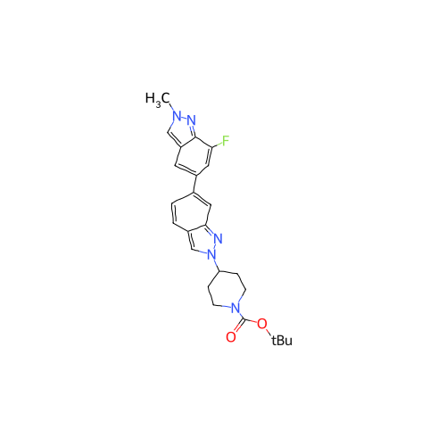 Cn1cc2cc(-c3ccc4cn(C5CCN(C(=O)OC(C)(C)C)CC5)nc4c3)cc(F)c2n1